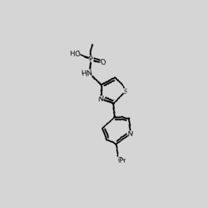 CC(C)c1ccc(-c2nc(NP(C)(=O)O)cs2)cn1